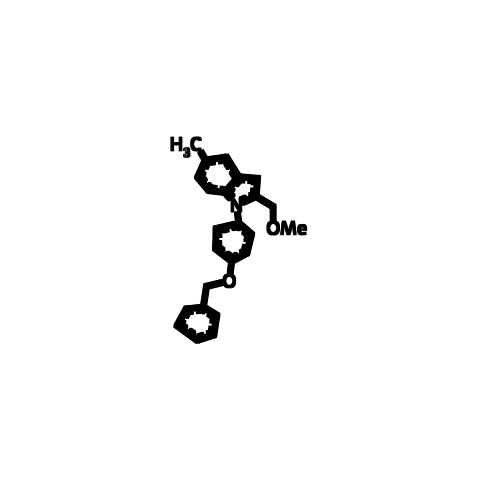 COCc1cc2cc(C)ccc2n1-c1ccc(OCc2ccccc2)cc1